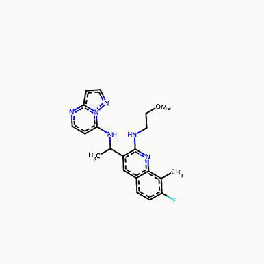 COCCNc1nc2c(C)c(F)ccc2cc1C(C)Nc1ccnc2ccnn12